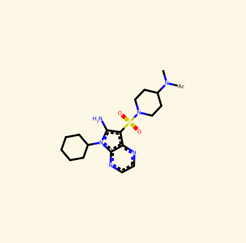 CC(=O)N(C)C1CCN(S(=O)(=O)c2c(N)n(C3CCCCC3)c3nccnc23)CC1